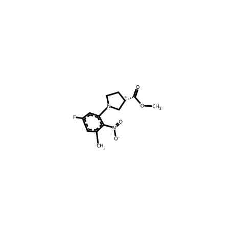 COC(=O)[C@H]1CCN(c2cc(F)cc(C)c2[N+](=O)[O-])C1